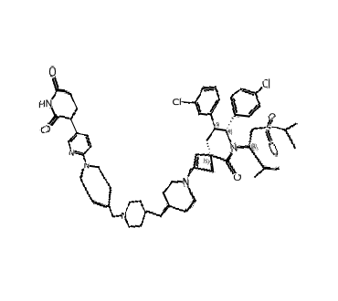 CC(C)[C@H](CS(=O)(=O)C(C)C)N1C(=O)[C@@]2(C=C(N3CCC(CC4CCN(CC5CCN(c6ccc(C7CCC(=O)NC7=O)cn6)CC5)CC4)CC3)C2)C[C@@H](c2cccc(Cl)c2)[C@@H]1c1ccc(Cl)cc1